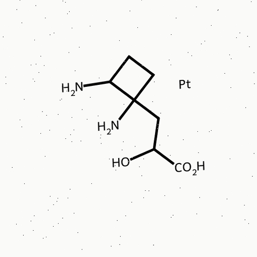 NC1CCC1(N)CC(O)C(=O)O.[Pt]